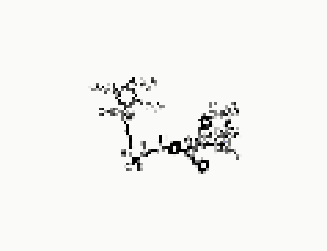 CCC(=O)NCCNC(=O)/N=C(/N)NCCC[C@@H](NC(=O)C(CCCc1ccccc1)c1ccc(NCCCNc2c(NCCCCCCNC(C=O)N3CCN(CC(=O)O)CCN(CC(=O)O)CCN(CC(=O)O)CC3)c(=O)c2=O)cc1)C(=O)NCc1ccc(O)cc1